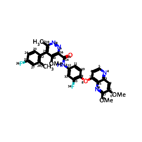 COc1cc2nccc(Oc3ccc(NC(=O)c4nnc(C)c(-c5ccc(F)cc5C)c4OC)cc3F)c2nc1OC